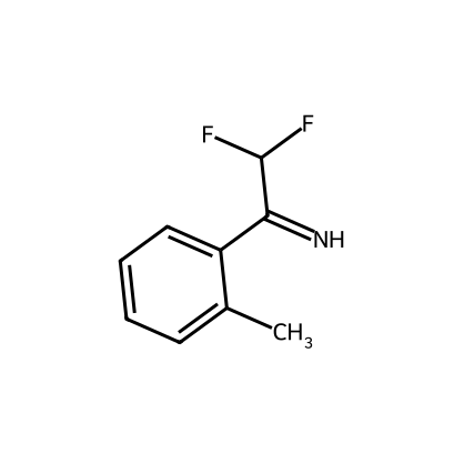 Cc1ccccc1C(=N)C(F)F